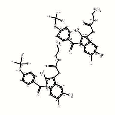 CCCNC(=O)Cc1c(C)n(C(=O)c2ccc(OC(F)(F)F)cc2)c2cc(F)c(O)cc12.CCNC(=O)Cc1c(C)n(C(=O)c2ccc(OC(F)(F)F)cc2)c2cc(F)c(O)cc12